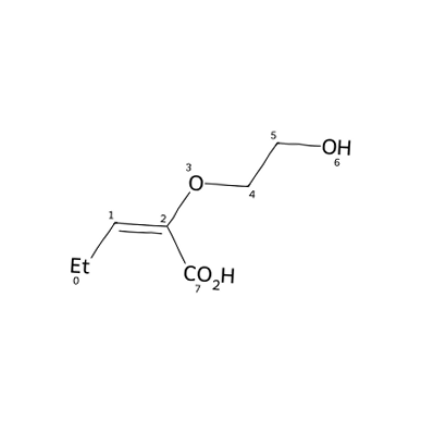 CC/C=C(/OCCO)C(=O)O